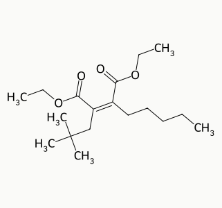 CCCCC/C(C(=O)OCC)=C(\CC(C)(C)C)C(=O)OCC